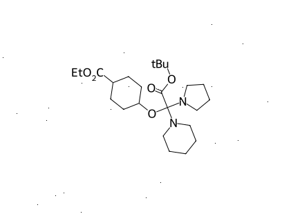 CCOC(=O)C1CCC(OC(C(=O)OC(C)(C)C)(N2CCCCC2)N2CCCC2)CC1